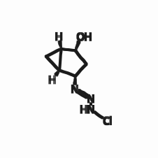 O[C@H]1C[C@@H](N=NNCl)[C@@H]2C[C@@H]21